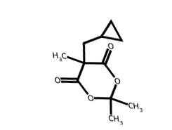 CC1(C)OC(=O)C(C)(CC2CC2)C(=O)O1